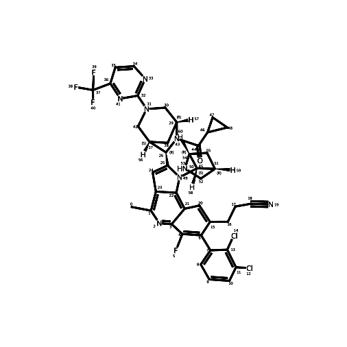 Cc1nc2c(F)c(-c3cccc(Cl)c3Cl)c(CCC#N)cc2c2c1cc([C@H]1[C@H]3C[C@H](CN(c4nccc(C(F)(F)F)n4)C3)N1C(=O)C1CC1)n2[C@H]1[C@H]2CN[C@@H]1C2